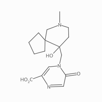 CN1CCC(O)(Cn2cc(C(=O)O)ncc2=O)C2(CCCC2)C1